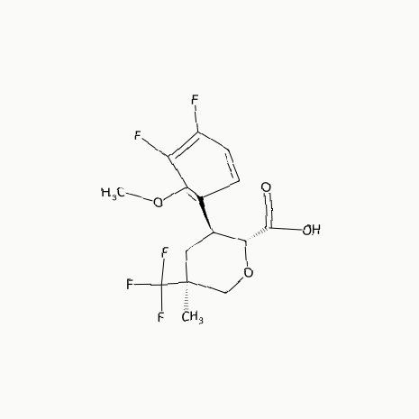 COc1c([C@@H]2C[C@](C)(C(F)(F)F)CO[C@H]2C(=O)O)ccc(F)c1F